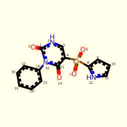 O=c1[nH]cc(S(=O)(=O)c2ccc[nH]2)c(=O)n1-c1ccccc1